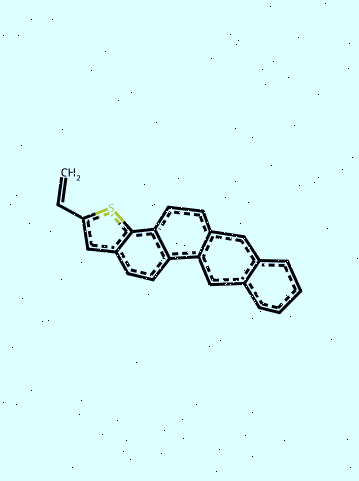 C=Cc1cc2ccc3c4cc5ccccc5cc4ccc3c2s1